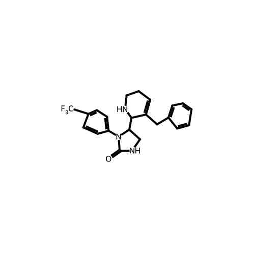 O=C1NCC(C2NCCC=C2Cc2ccccc2)N1c1ccc(C(F)(F)F)cc1